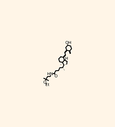 C=C1CC[C@H](O)C/C1=C/C=C1\CCC[C@]2(C)[C@@H]([C@H](C)CCCC(=O)NCCC(C)(C)OCC)CC[C@@H]12